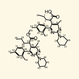 CCCC(C(=O)O)c1c(C)nc(N2CCCCC2)nc1-c1ccc(C)cc1C.CCCC(C(=O)OC)c1c(C)nc(N2CCCCC2)nc1-c1ccc(C)cc1C